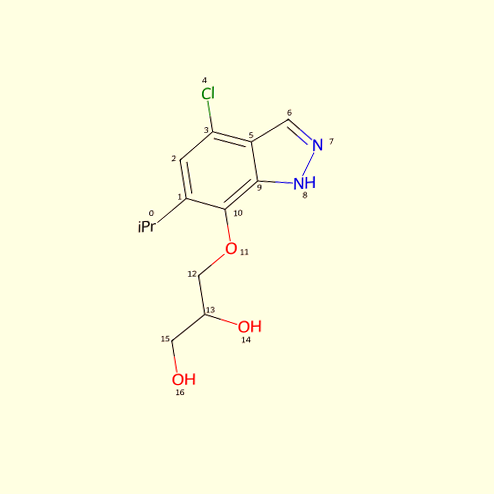 CC(C)c1cc(Cl)c2cn[nH]c2c1OCC(O)CO